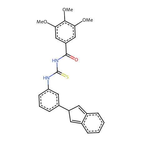 COc1cc(C(=O)NC(=S)Nc2cccc(C3C=c4ccccc4=C3)c2)cc(OC)c1OC